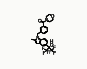 Cc1cc2cc(C(O)(C(F)(F)F)C(F)(F)F)ccc2n1Cc1cccc(C(=O)N2CCOCC2)c1